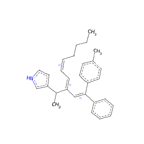 CCCC\C=C/C=C(/C=C(/c1ccccc1)c1ccc(C)cc1)C(C)c1cc[nH]c1